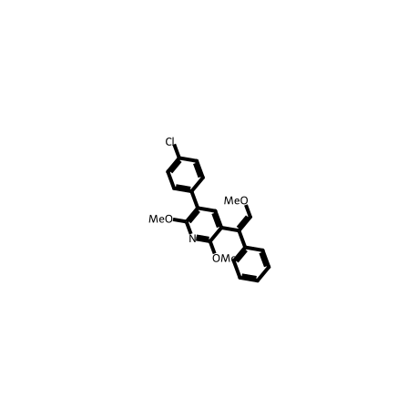 COC=C(c1ccccc1)c1cc(-c2ccc(Cl)cc2)c(OC)nc1OC